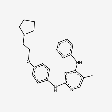 Cc1cnc(Nc2ccc(OCCN3CCCC3)cc2)nc1Nc1cccnc1